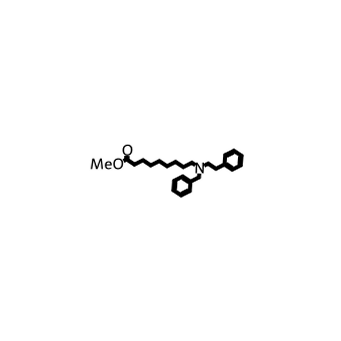 COC(=O)CCCCCCCCN(CCc1ccccc1)Cc1ccccc1